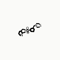 O=S(=O)(c1cccc(CN2CCSCC2)c1)N1CCc2cccnc2C1